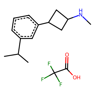 CNC1CC(c2cccc(C(C)C)c2)C1.O=C(O)C(F)(F)F